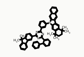 CC1(C)CCC(C)(C)c2cc3c(cc21)c1cc2ccccc2cc1n3-c1cccc(-c2nc(-c3ccc4c(c3)-c3ccccc3C4(C)C)nc(-c3ccccc3-c3ccccc3)n2)c1